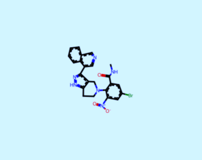 CNC(=O)c1cc(Br)cc([N+](=O)[O-])c1N1CCc2[nH]nc(-c3cncc4ccccc34)c2C1